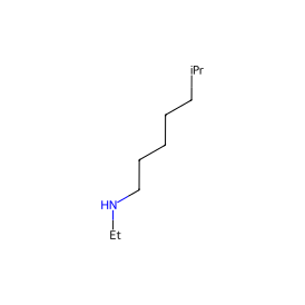 CCNCCCCCC(C)C